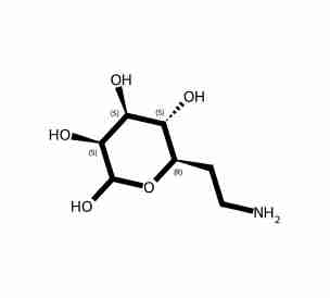 NCC[C@H]1OC(O)[C@@H](O)[C@@H](O)[C@@H]1O